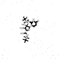 CC(C)(C)[Si](C)(C)OC(O)[C@H]1O[C@@H](n2ccc(=O)[nH]c2=O)[C@@](O)(O[Si](C)(C)C(C)(C)C)[C@@H]1O